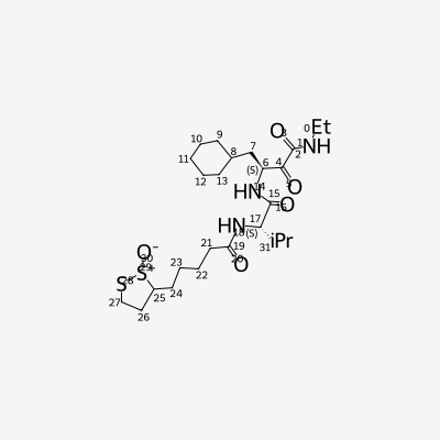 CCNC(=O)C(=O)[C@H](CC1CCCCC1)NC(=O)[C@@H](NC(=O)CCCCC1CCS[S+]1[O-])C(C)C